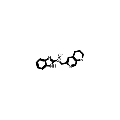 [O-][S+](Cc1cc2c(cn1)SCCC2)c1nc2ccccc2[nH]1